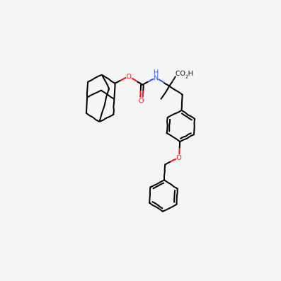 CC(Cc1ccc(OCc2ccccc2)cc1)(NC(=O)OC1C2CC3CC(C2)CC1C3)C(=O)O